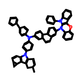 CC1C=Cc2c(c3c(n2-c2ccc(N(c4ccc(-c5ccccc5)cc4)c4ccc5c(ccc6cc(N7c8ccccc8Oc8c7n(-c7ccccc7)c7ccccc87)ccc65)c4)cc2)C=CC2CC32)C1